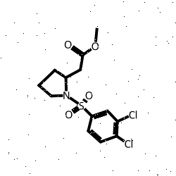 COC(=O)CC1CCCN1S(=O)(=O)c1ccc(Cl)c(Cl)c1